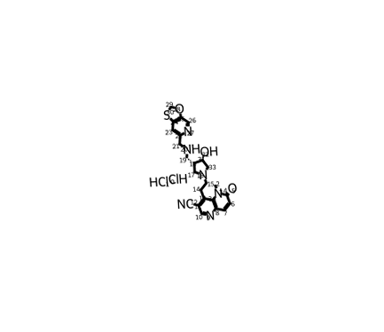 Cl.Cl.Cn1c(=O)ccc2ncc(C#N)c(CCN3C[C@H](CNCc4cc5c(cn4)OCS5)[C@H](O)C3)c21